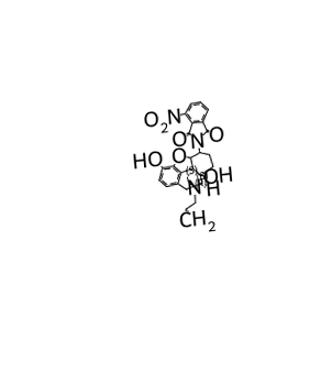 C=CCN1CC[C@]23c4c5ccc(O)c4OC2C(N2C(=O)c4cccc([N+](=O)[O-])c4C2=O)CC[C@@]3(O)[C@H]1C5